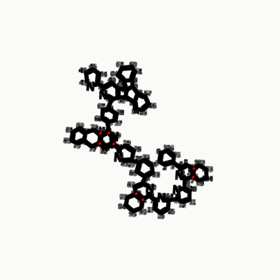 c1ccc(-c2cc3c(c(-c4cccc(-c5cccc(-c6nc(-c7cccc(-c8ccc(-c9cc%10c(c(-c%11ccc(-c%12nc(-c%13ccccn%13)cc%13c%12C%12c%14ccccc%14C%14c%15ccccc%15C%13%14%12)cc%11)n9)C9c%11ccccc%11C%10c%10ccccc%109)nc8)c7)cc7c6C6CCC7CC6)n5)n4)n2)C2CCC3CC2)cc1